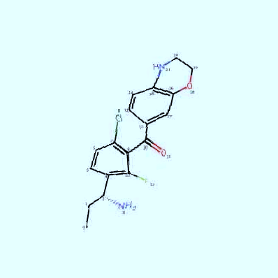 CC[C@@H](N)c1ccc(Cl)c(C(=O)c2ccc3c(c2)OCCN3)c1F